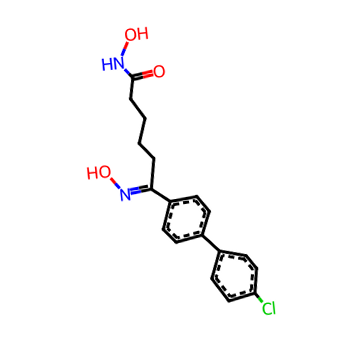 O=C(CCCCC(=NO)c1ccc(-c2ccc(Cl)cc2)cc1)NO